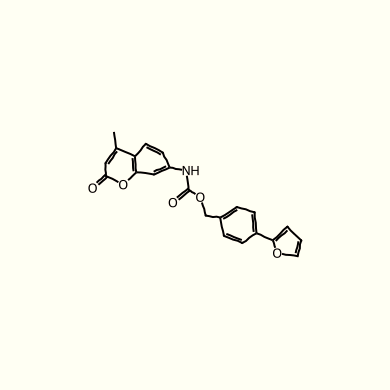 Cc1cc(=O)oc2cc(NC(=O)OCc3ccc(-c4ccco4)cc3)ccc12